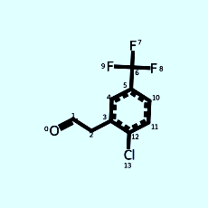 O=[C]Cc1cc(C(F)(F)F)ccc1Cl